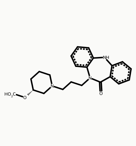 O=C(O)O[C@@H]1CCCN(CCCN2C(=O)c3ccccc3Nc3ccccc32)C1